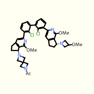 COc1nc(-c2cccc(-c3cccc(-c4cc5c(c(OC)n4)[C@@H](N4CC6(CN(C(C)=O)C6)C4)CC5)c3Cl)c2Cl)cc2c1[C@H](N1CC(OC)C1)CC2